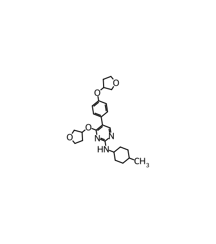 CC1CCC(Nc2ncc(-c3ccc(OC4CCOC4)cc3)c(OC3CCOC3)n2)CC1